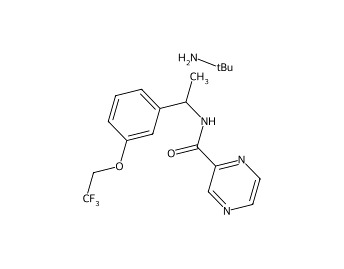 CC(C)(C)N.CC(NC(=O)c1cnccn1)c1cccc(OCC(F)(F)F)c1